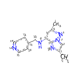 Cc1cn2nc(C)cc(NCc3ccncc3)c2n1